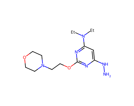 CCN(CC)c1cc(NN)nc(OCCN2CCOCC2)n1